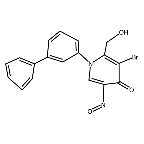 O=Nc1cn(-c2cccc(-c3ccccc3)c2)c(CO)c(Br)c1=O